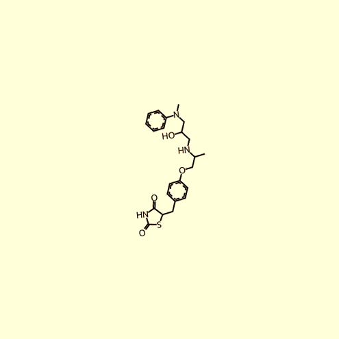 CC(COc1ccc(CC2SC(=O)NC2=O)cc1)NCC(O)CN(C)c1ccccc1